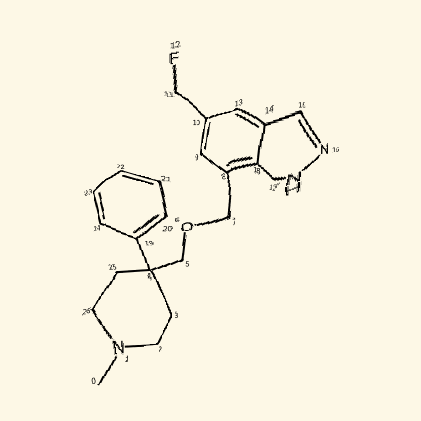 CN1CCC(COCc2cc(CF)cc3cn[nH]c23)(c2ccccc2)CC1